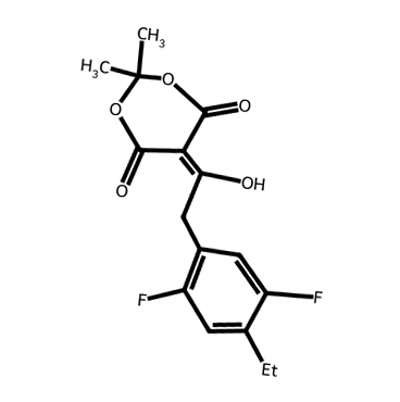 CCc1cc(F)c(CC(O)=C2C(=O)OC(C)(C)OC2=O)cc1F